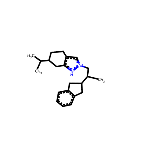 CC(C)C1CCc2c[n+](CC(C)C3Cc4ccccc4C3)[nH]c2C1